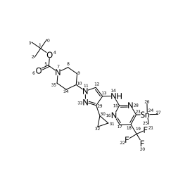 CC(C)(C)OC(=O)N1CCC(n2cc(Nc3ncc(C(F)(F)F)[c]([Sn]([CH3])([CH3])[CH3])n3)c(C3CC3)n2)CC1